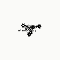 CCCCCC(=O)C[C@@H](CC1CCCCC1)[C@@H](O)C[C@@H](Cc1ccc(OCc2ccccc2)cc1)C(=O)N[C@H]1c2ccccc2C[C@H]1O